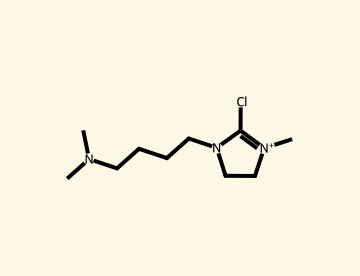 CN(C)CCCCN1CC[N+](C)=C1Cl